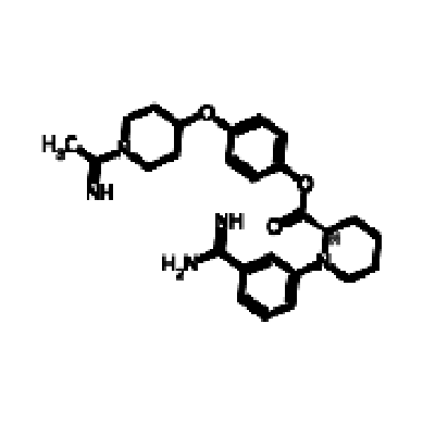 CC(=N)N1CCC(Oc2ccc(OC(=O)[C@H]3CCCCN3c3cccc(C(=N)N)c3)cc2)CC1